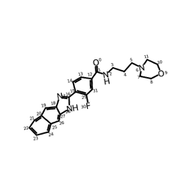 O=C(NCCCN1CCOCC1)c1ccc(-c2nc3cc4ccccc4cc3[nH]2)c(F)c1